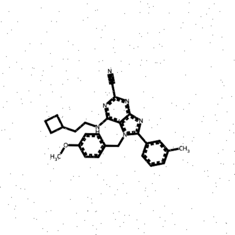 COc1ccc(Cn2c(-c3cccc(C)c3)nc3nc(C#N)nc(NCCC4CCC4)c32)cc1